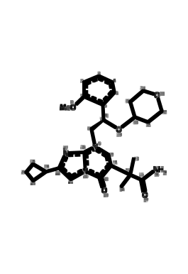 COc1ccccc1[C@H](Cn1cc(C(C)(C)C(N)=O)c(=O)n2cc(C3CCC3)nc12)OC1CCOCC1